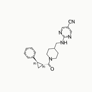 N#Cc1cnc(NCC2CCN(C(=O)[C@@H]3C[C@H]3c3ccccc3)CC2)nc1